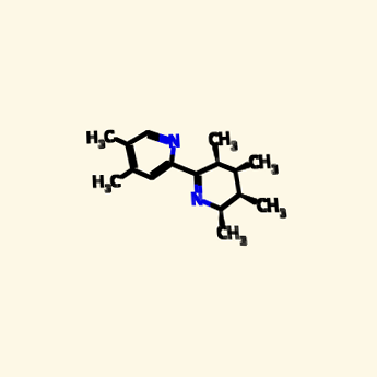 Cc1cnc(C2=N[C@H](C)[C@H](C)[C@H](C)[C@@H]2C)cc1C